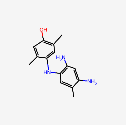 Cc1cc(Nc2cc(C)c(O)cc2C)c(N)cc1N